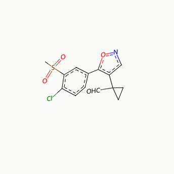 CS(=O)(=O)c1cc(-c2oncc2C2(C=O)CC2)ccc1Cl